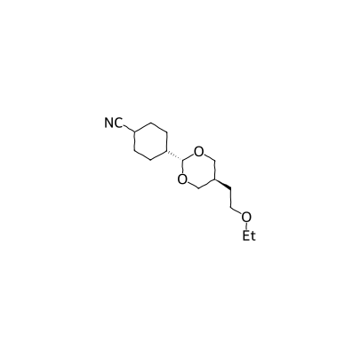 CCOCC[C@H]1CO[C@H](C2CCC(C#N)CC2)OC1